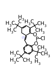 CC(C)(C)C1=CC(C(C)(C)C)=C2OP(Cl)Oc3c(cc(C(C)(C)C)cc3C(C)(C)C)/C=C\2C1